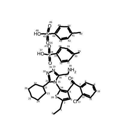 CCc1cc(C(=O)c2ccccc2Cl)c(-n2c(CN)nnc2C2CCCCC2)s1.Cc1ccc(S(=O)(=O)O)cc1.Cc1ccc(S(=O)(=O)O)cc1